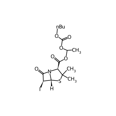 CCCCOC(=O)OC(C)OC(=O)[C@@H]1N2C(=O)[C@H](I)[C@H]2SC1(C)C